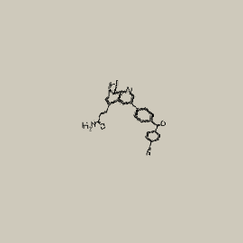 N#Cc1ccc(C(=O)c2ccc(-c3cnc4[nH]cc(/C=C/C(N)=O)c4c3)cc2)cc1